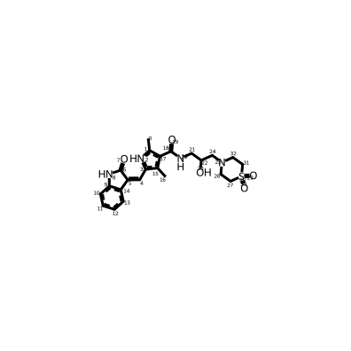 Cc1[nH]c(/C=C2\C(=O)Nc3ccccc32)c(C)c1C(=O)NCC(O)CN1CCS(=O)(=O)CC1